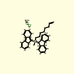 C=CCCCCCC[Si](C)(C1=c2ccccc2=C2C=CC=CC21)C1c2ccccc2-c2ccccc21.[Cl-].[Cl-].[Ti+2]